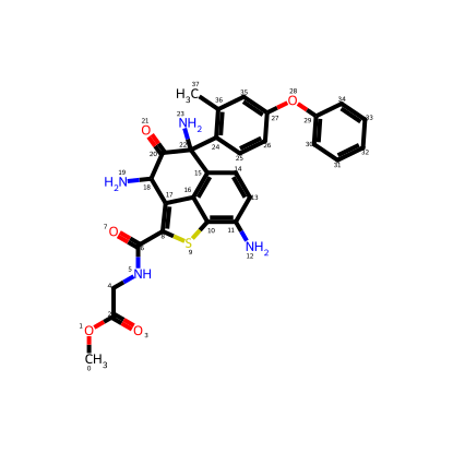 COC(=O)CNC(=O)c1sc2c(N)ccc3c2c1C(N)C(=O)C3(N)c1ccc(Oc2ccccc2)cc1C